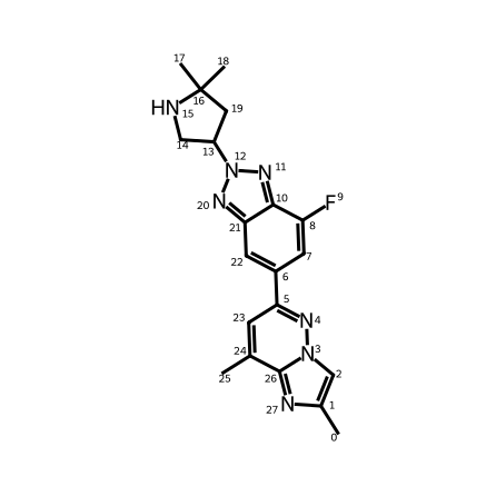 Cc1cn2nc(-c3cc(F)c4nn(C5CNC(C)(C)C5)nc4c3)cc(C)c2n1